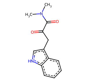 CN(C)C(=O)C(=O)Cc1c[nH]c2ccccc12